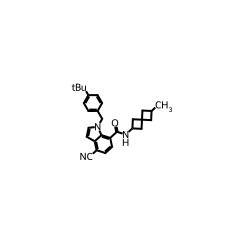 CC1CC2(C1)CC(NC(=O)c1ccc(C#N)c3ccn(Cc4ccc(C(C)(C)C)cc4)c13)C2